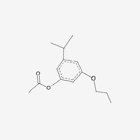 CCCOc1cc(OC(C)=O)cc([C](C)C)c1